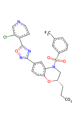 O=C(O)CC[C@H]1CN(S(=O)(=O)c2cccc(C(F)(F)F)c2)c2cc(-c3noc(-c4ccncc4Cl)n3)ccc2O1